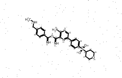 CNCc1ccc(C(=N)OC(=N)c2nc(-c3ccc(S(=O)(=O)C4CCOCC4)cc3)cnc2N)cc1